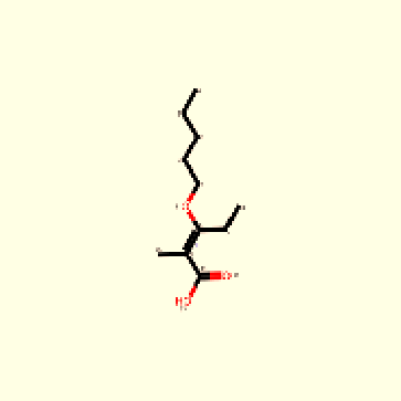 CCCCCO/C(CC)=C(\C)C(=O)O